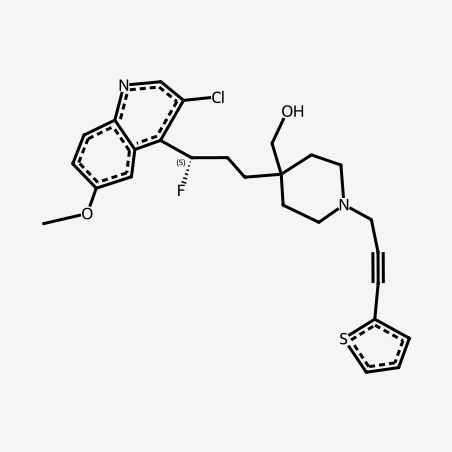 COc1ccc2ncc(Cl)c([C@@H](F)CCC3(CO)CCN(CC#Cc4cccs4)CC3)c2c1